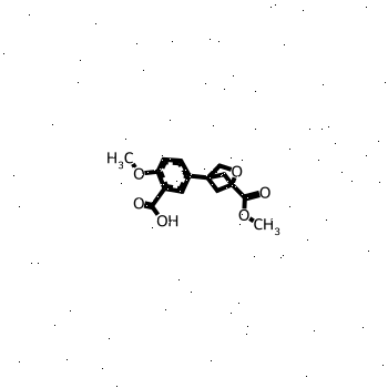 COC(=O)C12CC(c3ccc(OC)c(C(=O)O)c3)(CO1)C2